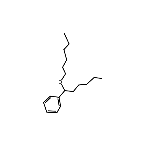 CCCCCCOC(CCCCC)c1ccccc1